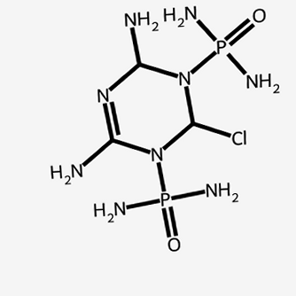 NC1=NC(N)N(P(N)(N)=O)C(Cl)N1P(N)(N)=O